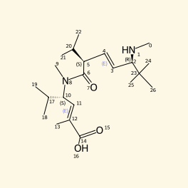 CN[C@H](/C=C/[C@@H](C(=O)N(C)[C@H](/C=C(\C)C(=O)O)C(C)C)C(C)C)C(C)(C)C